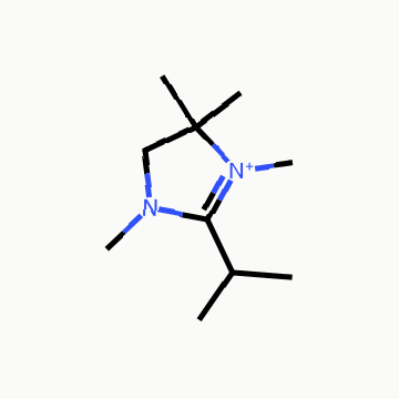 CC(C)C1=[N+](C)C(C)(C)CN1C